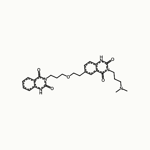 CN(C)CCCn1c(=O)[nH]c2ccc(CCOCCCn3c(=O)[nH]c4ccccc4c3=O)cc2c1=O